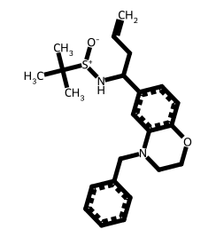 C=CCC(N[S+]([O-])C(C)(C)C)c1ccc2c(c1)N(Cc1ccccc1)CCO2